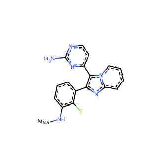 CSNc1cccc(-c2nc3ccccn3c2-c2ccnc(N)n2)c1F